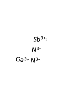 [Ga+3].[N-3].[N-3].[Sb+3]